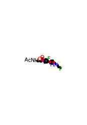 CC(=O)NC[C@@H]1CN(c2ccc(-c3ccc(CNCCCF)cc3)c(F)c2)C(=O)O1